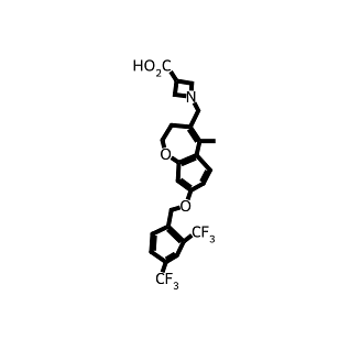 CC1=C(CN2CC(C(=O)O)C2)CCOc2cc(OCc3ccc(C(F)(F)F)cc3C(F)(F)F)ccc21